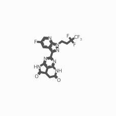 C[C@]12CC(=O)Nc3nc(-c4nn(CCC(F)(F)C(F)(F)F)c5ncc(F)cc45)nc(c31)NC2=O